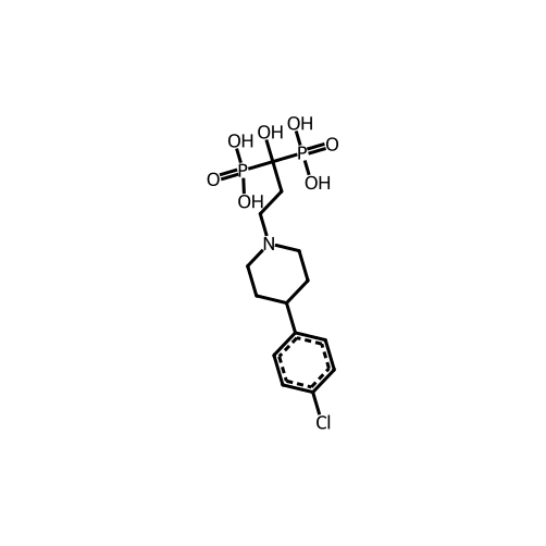 O=P(O)(O)C(O)(CCN1CCC(c2ccc(Cl)cc2)CC1)P(=O)(O)O